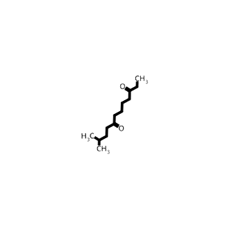 CCC(=O)CCCCC(=O)CCC(C)C